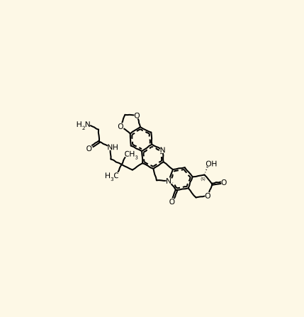 CC(C)(CNC(=O)CN)Cc1c2c(nc3cc4c(cc13)OCO4)-c1cc3c(c(=O)n1C2)COC(=O)[C@H]3O